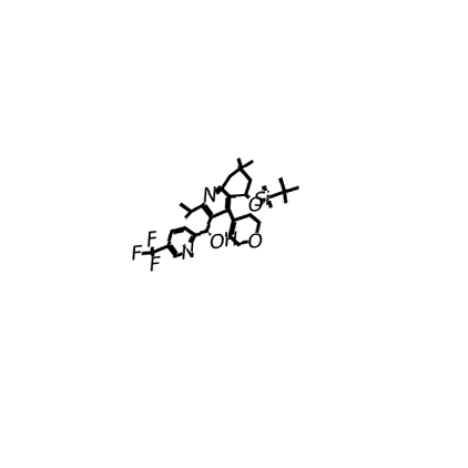 CC(C)c1nc2c(c(C3=CCOCC3)c1[C@H](O)c1ccc(C(F)(F)F)cn1)C(O[Si](C)(C)C(C)(C)C)CC(C)(C)C2